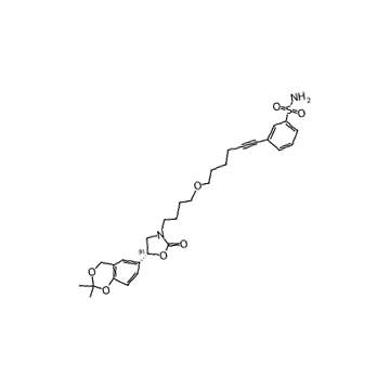 CC1(C)OCc2cc([C@@H]3CN(CCCCOCCCCC#Cc4cccc(S(N)(=O)=O)c4)C(=O)O3)ccc2O1